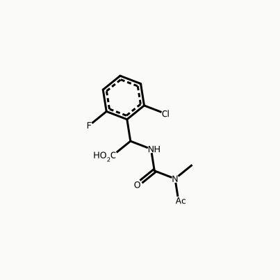 CC(=O)N(C)C(=O)NC(C(=O)O)c1c(F)cccc1Cl